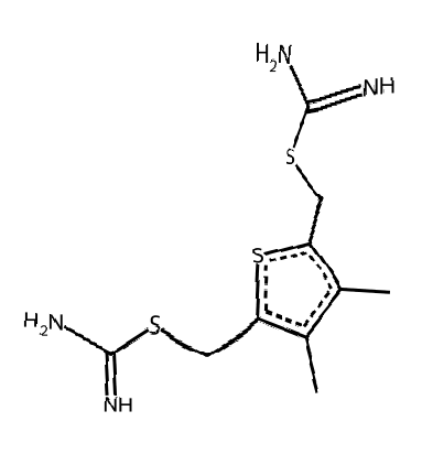 Cc1c(CSC(=N)N)sc(CSC(=N)N)c1C